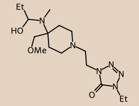 CCC(O)N(C)C1(COC)CCN(CCn2nnn(CC)c2=O)CC1